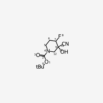 CC(C)(C)OC(=O)N1CCC(F)C(O)(C#N)C1